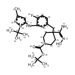 Cc1cc(Nc2nc(CC3(C(N)=NO)CCN(C(=O)OC(C)(C)C)CC3)ccc2F)n(C(C)(C)C)n1